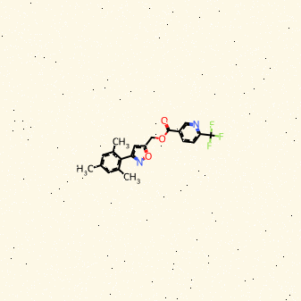 Cc1cc(C)c(-c2cc(COC(=O)c3ccc(C(F)(F)F)nc3)on2)c(C)c1